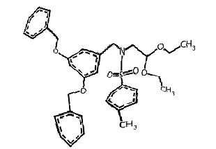 CCOC(CN(Cc1cc(OCc2ccccc2)cc(OCc2ccccc2)c1)S(=O)(=O)c1ccc(C)cc1)OCC